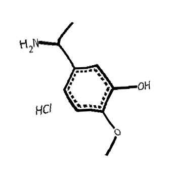 COc1ccc(C(C)N)cc1O.Cl